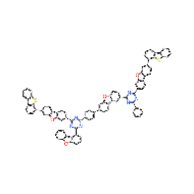 c1ccc(-c2nc(-c3ccc4c(c3)oc3cc(-c5cccc6c5sc5ccccc56)ccc34)nc(-c3ccc4oc5cc(-c6ccc(-c7nc(-c8ccc9c(c8)oc8cc(-c%10cccc%11c%10sc%10ccccc%10%11)ccc89)nc(-c8cccc9oc%10ccccc%10c89)n7)cc6)ccc5c4c3)n2)cc1